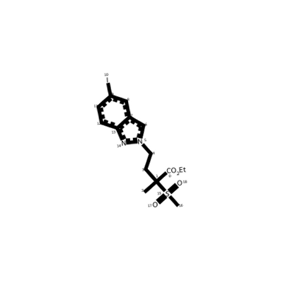 CCOC(=O)C(C)(CCn1cc2cc(I)ccc2n1)S(C)(=O)=O